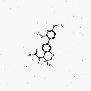 COc1ccc(-c2ccc3c(c2)OCC(C)(C)C3NC(=O)O)c(OC)n1